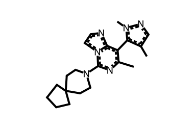 Cc1cnn(C)c1-c1c(C)nc(N2CCC3(CCCC3)CC2)n2ccnc12